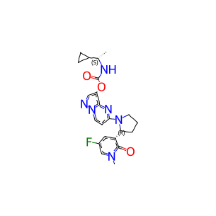 C[C@H](NC(=O)Oc1cnn2ccc(N3CCC[C@@H]3c3cc(F)cn(C)c3=O)nc12)C1CC1